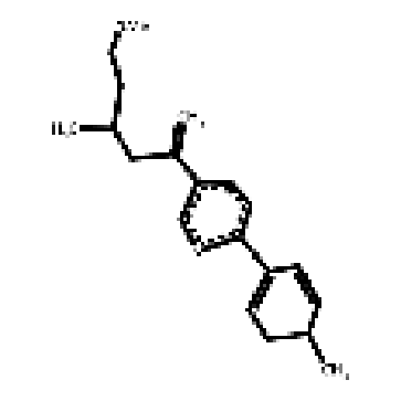 C=C(CC(C)CCNC)c1ccc(C2=CCC(C)C=C2)nc1